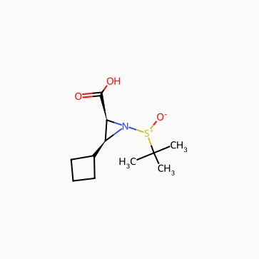 CC(C)(C)[S+]([O-])N1[C@H](C(=O)O)[C@@H]1C1CCC1